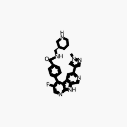 Cn1cc(-c2cc3c(cn2)[nH]c2ncc(F)c(-c4ccc(C(=O)NC[C@@H]5CCCNC5)cc4)c23)cn1